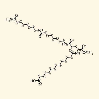 COC(=O)[C@H](CCC(=O)NCCOCCOCC(=O)NCCOCCOCC(N)=O)NC(=O)CCCCCCCCCCCCC(=O)O